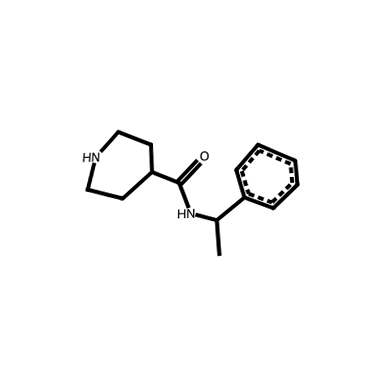 CC(NC(=O)C1CCNCC1)c1ccccc1